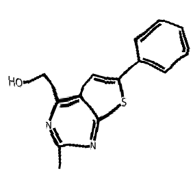 Cc1nc(CO)c2cc(-c3ccccc3)sc2n1